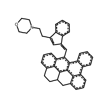 C1=C(CCN2CCOCC2)c2ccccc2/C1=C/c1c2cccc3c2c2c4c5c(cccc5c5ccccc5c14)CC2CC3